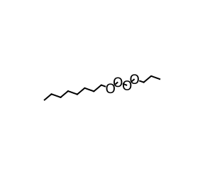 CCCCCCCCOOOOCCC